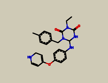 CCN1C(=O)NC(Nc2ccc(OC3=CCNC=C3)cc2)N(Cc2ccc(C)cc2)C1=O